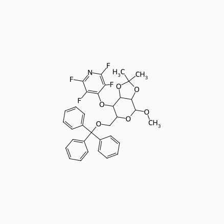 COC1OC(COC(c2ccccc2)(c2ccccc2)c2ccccc2)C(Oc2c(F)c(F)nc(F)c2F)C2OC(C)(C)OC12